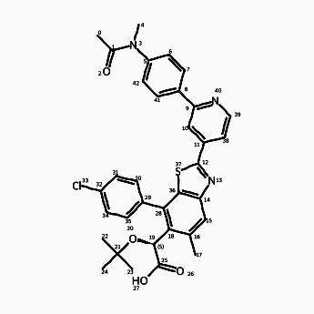 CC(=O)N(C)c1ccc(-c2cc(-c3nc4cc(C)c([C@H](OC(C)(C)C)C(=O)O)c(-c5ccc(Cl)cc5)c4s3)ccn2)cc1